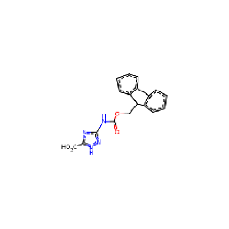 O=C(Nc1n[nH]c(C(=O)O)n1)OCC1c2ccccc2-c2ccccc21